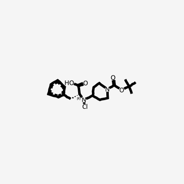 CC(C)(C)OC(=O)N1CCC(N(Cl)[C@H](Cc2ccccc2)C(=O)O)CC1